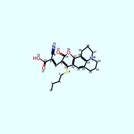 CCCCSc1c(C=C(C#N)C(=O)O)c(=O)oc2c3c4c(cc12)CCCN4CCC3